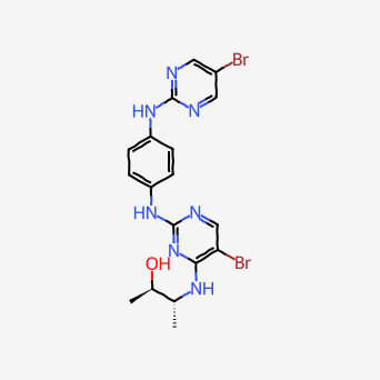 C[C@@H](O)[C@@H](C)Nc1nc(Nc2ccc(Nc3ncc(Br)cn3)cc2)ncc1Br